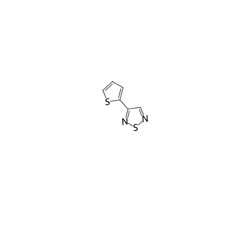 c1csc(-c2cnsn2)c1